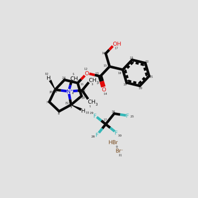 Br.CC(C)[N+]1(C)[C@@H]2CC[C@H]1CC(OC(=O)C(CO)c1ccccc1)C2.FCC(F)(F)F.[Br-]